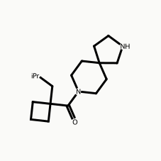 CC(C)CC1(C(=O)N2CCC3(CCNC3)CC2)CCC1